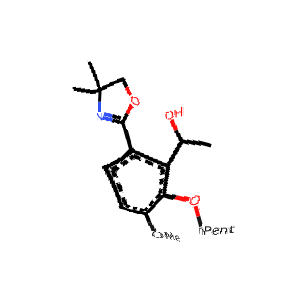 CCCCCOc1c(OC)ccc(C2=NC(C)(C)CO2)c1C(C)O